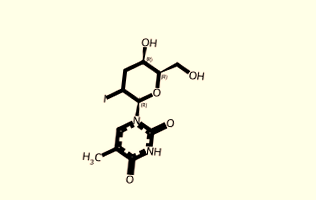 Cc1cn([C@@H]2O[C@H](CO)[C@H](O)CC2I)c(=O)[nH]c1=O